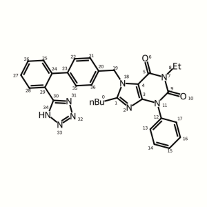 CCCCc1nc2c(c(=O)n(CC)c(=O)n2-c2ccccc2)n1Cc1ccc(-c2ccccc2-c2nnn[nH]2)cc1